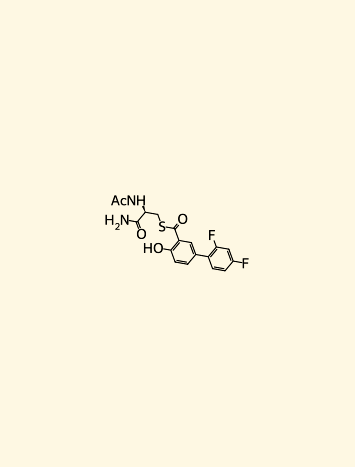 CC(=O)N[C@@H](CSC(=O)c1cc(-c2ccc(F)cc2F)ccc1O)C(N)=O